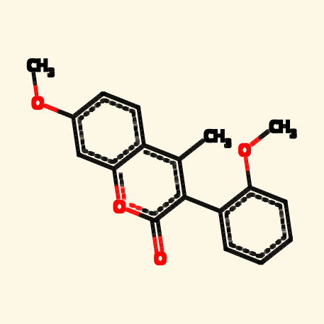 COc1ccc2c(C)c(-c3ccccc3OC)c(=O)oc2c1